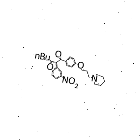 CCCCc1oc2ccc([N+](=O)[O-])cc2c1C(=O)c1ccc(OCCCN2CCCCC2)cc1